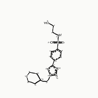 O=S(=O)(NCCO)c1ccc(-c2nnn(CC3CCOCC3)n2)cc1